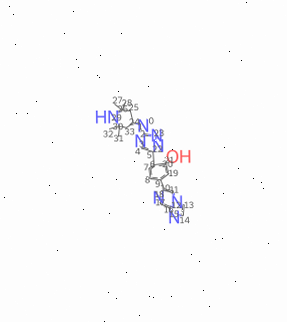 CN(c1ncc(-c2ccc(-c3cn4ccnc4cn3)cc2O)nn1)C1CC(C)(C)NC(C)(C)C1